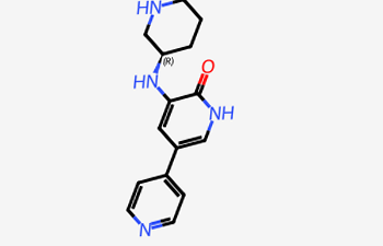 O=c1[nH]cc(-c2ccncc2)cc1N[C@@H]1CCCNC1